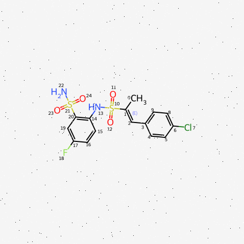 C/C(=C\c1ccc(Cl)cc1)S(=O)(=O)Nc1ccc(F)cc1S(N)(=O)=O